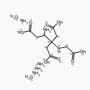 N.N.N.N.NC(CC(=O)O)C(CC(=O)O)(CC(=O)O)NCC(=O)O.O.O